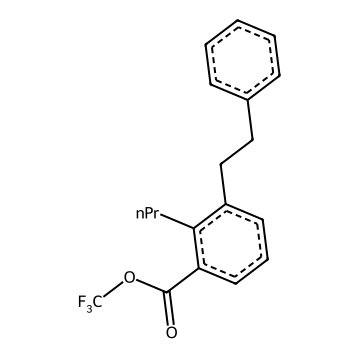 CCCc1c(CCc2ccccc2)cccc1C(=O)OC(F)(F)F